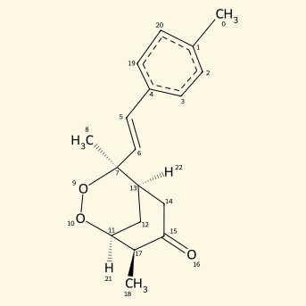 Cc1ccc(C=C[C@]2(C)OO[C@H]3C[C@@H]2CC(=O)[C@H]3C)cc1